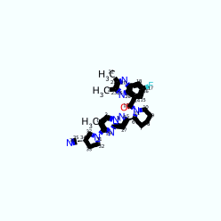 Cc1cn2nc([C@@H]3CCCCN3C(=O)c3cc(F)cc4nc(C)c(C)nc34)cc2nc1N1CC[C@H](C#N)C1